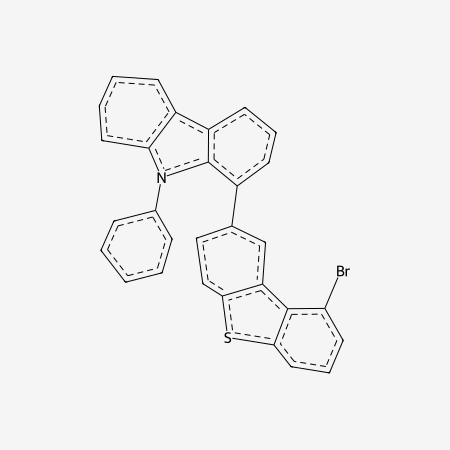 Brc1cccc2sc3ccc(-c4cccc5c6ccccc6n(-c6ccccc6)c45)cc3c12